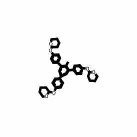 Cc1c(-c2ccc(OC3CCCCO3)cc2)cc(-c2ccc(OC3CCCCO3)cc2)cc1-c1ccc(OC2CCCCO2)cc1